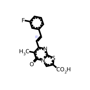 Cc1c(/C=C/c2cccc(F)c2)nc2sc(C(=O)O)cn2c1=O